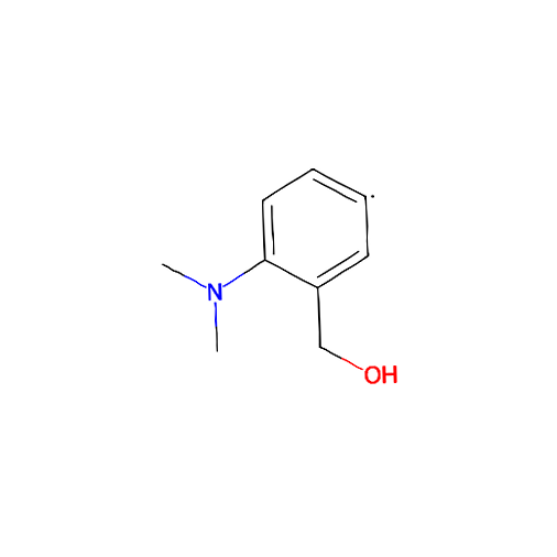 CN(C)c1cc[c]cc1CO